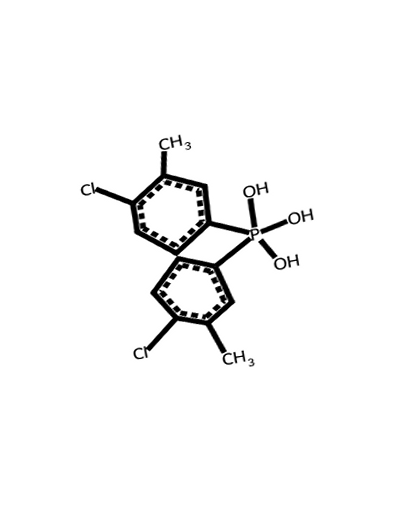 Cc1cc(P(O)(O)(O)c2ccc(Cl)c(C)c2)ccc1Cl